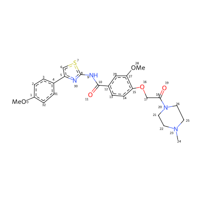 COc1ccc(-c2csc(NC(=O)c3ccc(OCC(=O)N4CCN(C)CC4)c(OC)c3)n2)cc1